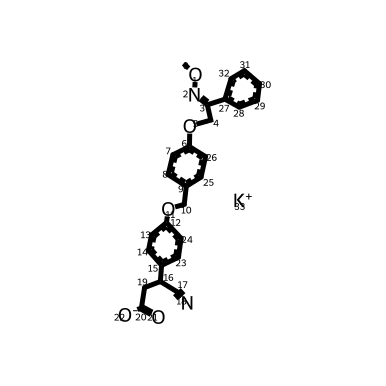 CON=C(COc1ccc(COc2ccc(C(C#N)CC(=O)[O-])cc2)cc1)c1ccccc1.[K+]